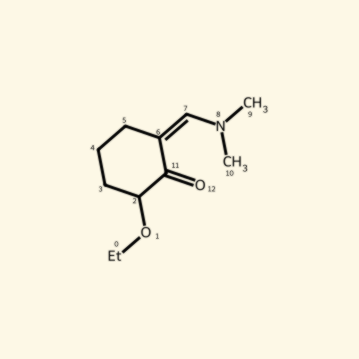 CCOC1CCC/C(=C/N(C)C)C1=O